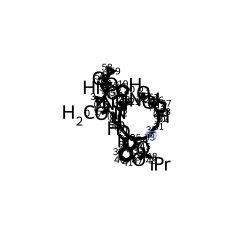 C=C[C@@H]1C[C@]1(NC(=O)[C@@H]1C[C@@H]2CN1C(=O)[C@H](C1CCCC1)NC(=O)O[C@@H]1CCC[C@H]1CC/C=C/Cc1c(nc3ccccc3c1OC(=O)CC(C)C)O2)C(=O)NS(=O)(=O)C1CC1